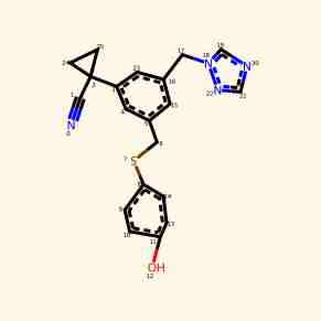 N#CC1(c2cc(CSc3ccc(O)cc3)cc(Cn3cncn3)c2)CC1